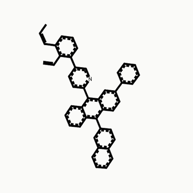 C=Cc1c(/C=C\C)cccc1-c1ccc(-c2c3ccccc3c(-c3ccc4ccccc4c3)c3ccc(-c4ccccc4)cc23)nc1